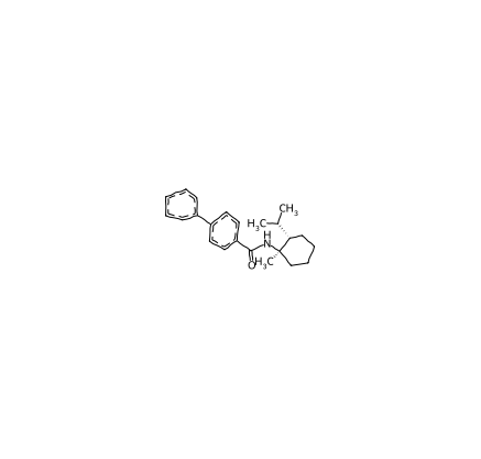 CC(C)[C@@H]1CCCC[C@@]1(C)NC(=O)c1ccc(-c2ccccc2)cc1